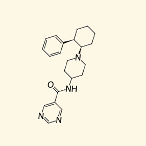 O=C(NC1CCN([C@@H]2CCCC[C@@H]2c2ccccc2)CC1)c1cncnc1